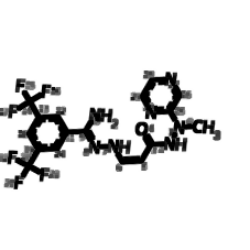 CN(NC(=O)/C=C\N/N=C(\N)c1cc(C(F)(F)F)cc(C(F)(F)F)c1)c1cnccn1